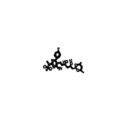 CC(C)c1nc(N(C)S(C)(=O)=O)nc(-c2ccc(F)cc2)c1/C=C/[C@@H](O)C[C@@H](O)C[C@@H]1O[C@H](C)C[C@H](C)O1